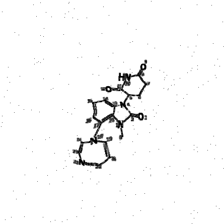 Cn1c(=O)n(C2CCC(=O)NC2=O)c2cccc(N3C=CC=NC=C3)c21